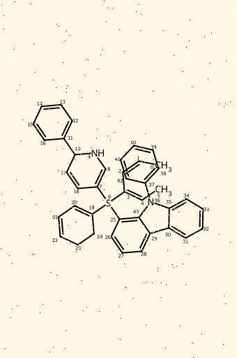 C/C=C\C(=C/C)S(C1=CNC(c2ccccc2)C=C1)(C1=CC=CCC1)c1cccc2c3ccccc3n(-c3ccccc3)c12